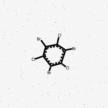 Clc1c(Br)c(Cl)c(Br)c(Cl)c1Br